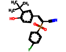 CC(C)(C)c1cc(C=C(C#N)S(=O)(=O)c2ccc(F)cc2)ccc1O